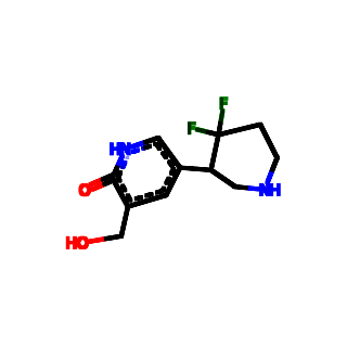 O=c1[nH]cc(C2CNCCC2(F)F)cc1CO